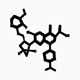 COc1ccnc(OC[C@H]2C[C@H]3C[C@H]3N2c2cc3c(cc2Cl)c(=O)c(C(=O)O)cn3-c2ccc(N(C)C)nc2)c1F